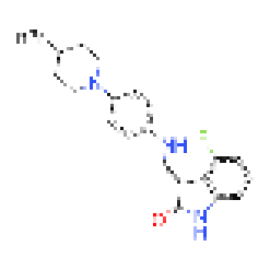 CCCC1CCN(c2ccc(N/C=C3/C(=O)Nc4cccc(F)c43)cc2)CC1